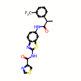 CC(C(=O)Nc1ccc2nc(NC(=O)c3cscn3)sc2c1)c1cccc(C(F)(F)F)c1